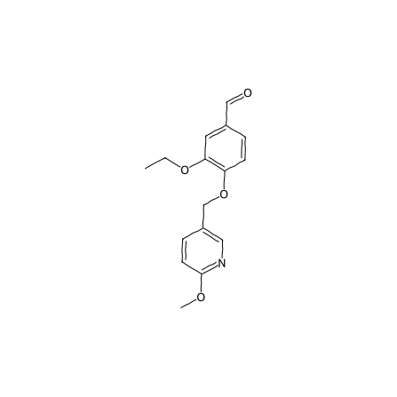 CCOc1cc(C=O)ccc1OCc1ccc(OC)nc1